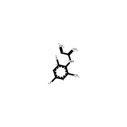 C=CC(=C)Nc1c(C)cc(F)cc1F